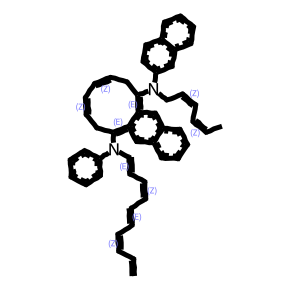 C=C\C=C/C=C/C=C\C=C\N(/C1=c2\cc3ccccc3c\c2=C(/N(C/C=C\C=C/C)c2ccc3ccccc3c2)C/C=C\C=C/C1)c1ccccc1